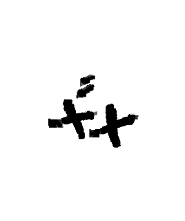 [NH-]S(=O)(=O)[O-].[NH-]S(=O)(=O)[O-].[Ni+2].[Ni+2]